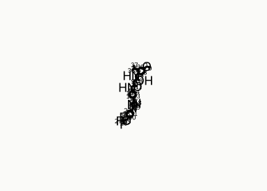 COc1ccc(N/C(O)=C/C(=O)Nc2ccc(-c3ncn(-c4ccc(OC(F)(F)F)cc4)n3)cc2)c(C(C)C)c1